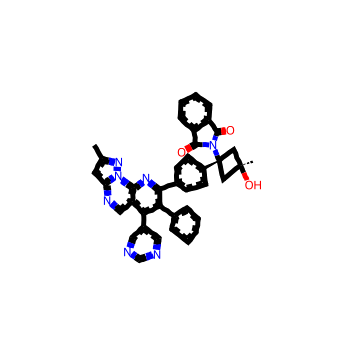 Cc1cc2ncc3c(-c4cncnc4)c(-c4ccccc4)c(-c4ccc([C@]5(N6C(=O)c7ccccc7C6=O)C[C@](C)(O)C5)cc4)nc3n2n1